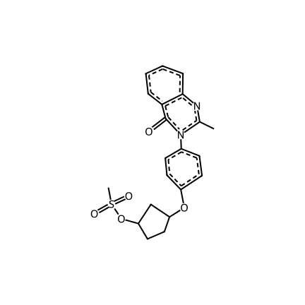 Cc1nc2ccccc2c(=O)n1-c1ccc(OC2CCC(OS(C)(=O)=O)C2)cc1